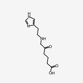 O=C(O)CCCC(=O)CNCCc1c[nH]cn1